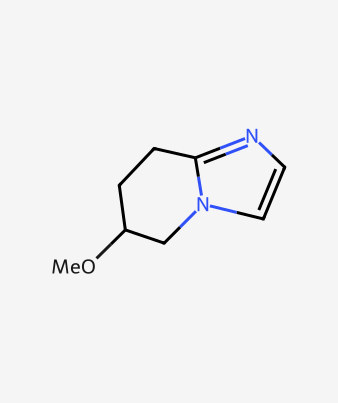 COC1CCc2nccn2C1